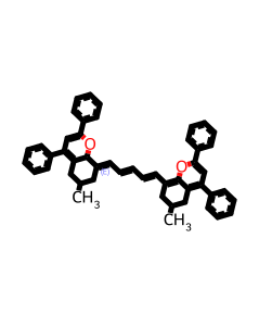 CC1CC(C=CC=C/C=C2\CC(C)CC3=C(c4ccccc4)C=C(c4ccccc4)OC32)=C2OC(c3ccccc3)=CC(c3ccccc3)=C2C1